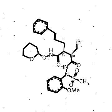 COc1ccccc1N(NC(=O)[C@H](CC(C)C)[C@H](CC=Cc1ccccc1)C(=O)NOC1CCCCO1)S(C)(=O)=O